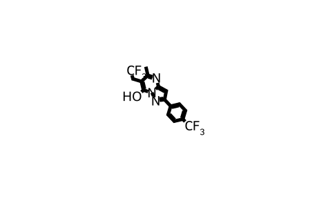 Cc1nc2cc(-c3ccc(C(F)(F)F)cc3)nn2c(O)c1CC(F)(F)F